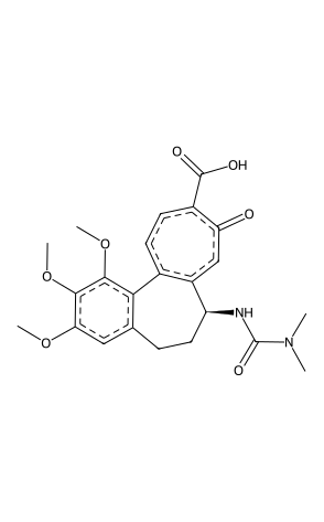 COc1cc2c(c(OC)c1OC)-c1ccc(C(=O)O)c(=O)cc1[C@@H](NC(=O)N(C)C)CC2